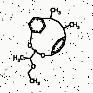 CCOC(C)P1Oc2ccc(cc2)C(C)CC(C)c2ccc(cc2)O1